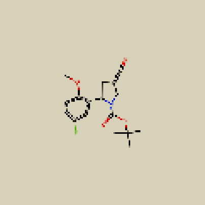 COc1ccc(F)cc1C1CC(=C=O)CN1C(=O)OC(C)(C)C